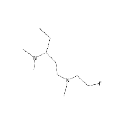 CCC(CCN(C)CCF)N(C)C